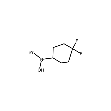 CC(C)N(O)C1CCC(F)(F)CC1